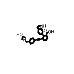 O=C(O)c1cccc(C#Cc2ccc(CN3CC(O)C3)cc2)c1-c1ccc2cc[nH]c2c1